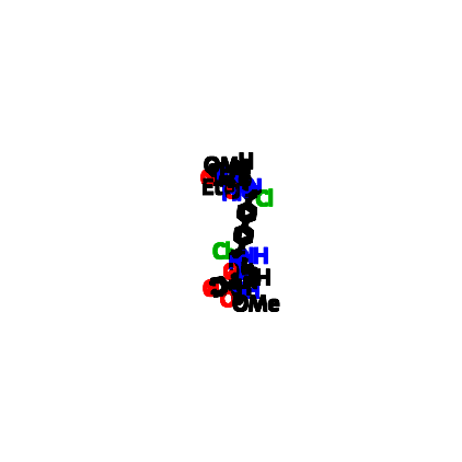 CC[C@H](NC(=O)OC)C(=O)N1[C@@H]2C[C@@H]2C[C@H]1c1nc(Cl)c(-c2ccc(-c3ccc(-c4[nH]c([C@@H]5C[C@H]6C[C@H]6N5C(=O)[C@@H](NC(=O)OC)C5CCOCC5)nc4Cl)cc3)cc2)[nH]1